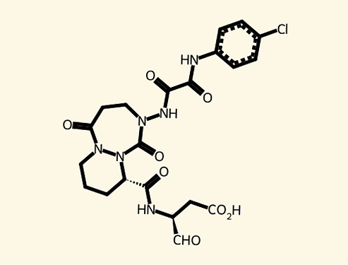 O=C[C@H](CC(=O)O)NC(=O)[C@@H]1CCCN2C(=O)CCN(NC(=O)C(=O)Nc3ccc(Cl)cc3)C(=O)N12